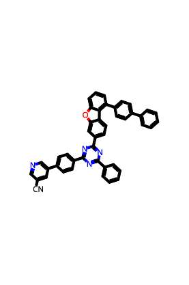 N#Cc1cncc(-c2ccc(-c3nc(-c4ccccc4)nc(-c4ccc5c(c4)oc4cccc(-c6ccc(-c7ccccc7)cc6)c45)n3)cc2)c1